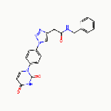 O=C(Cc1cn(-c2ccc(-n3ccc(=O)[nH]c3=O)cc2)nn1)NCc1ccccc1